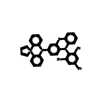 CC(C)c1cc(C(C)C)c(B2c3ccccc3Sc3cc(N4c5ccccc5[Si]5(C=CC=C5)c5ccccc54)ccc32)c(C(C)C)c1